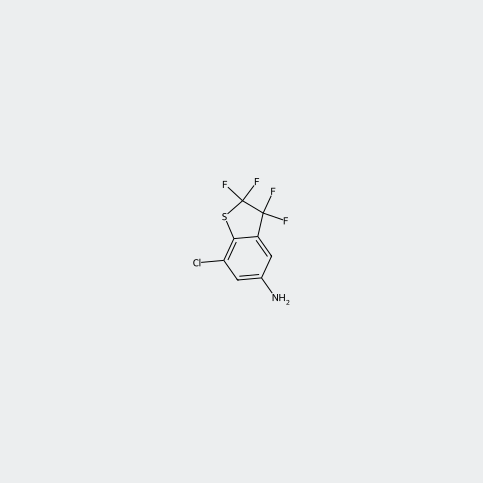 Nc1cc(Cl)c2c(c1)C(F)(F)C(F)(F)S2